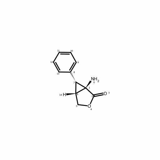 N[C@@]12C(=O)OC[C@@H]1[C@@H]2c1ccccc1